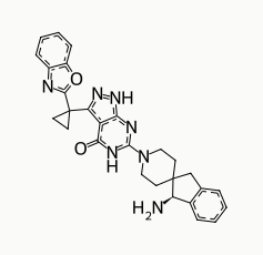 N[C@@H]1c2ccccc2CC12CCN(c1nc3[nH]nc(C4(c5nc6ccccc6o5)CC4)c3c(=O)[nH]1)CC2